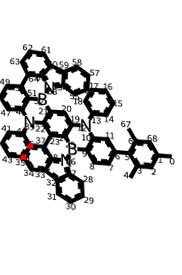 Cc1cc(C)c(-c2ccc3c(c2)N(c2ccccc2)c2cc4c(c5c2B3n2c3ccccc3c3cccc-5c32)N(c2ccccc2)c2cccc3c2B4n2c4ccccc4c4cccc-3c42)c(C)c1